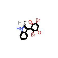 Cc1[nH]c2ccccc2c1C1=C(Br)C(=O)C=C(Br)C1=O